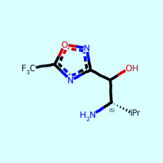 CC(C)[C@H](N)C(O)c1noc(C(F)(F)F)n1